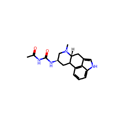 CC(=O)NC(=O)N[C@@H]1CC2c3cccc4[nH]cc(c34)C[C@H]2N(C)C1